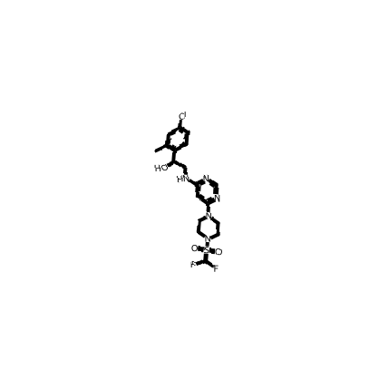 Cc1cc(Cl)ccc1C(O)CNc1cc(N2CCN(S(=O)(=O)C(F)F)CC2)ncn1